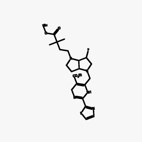 CCOC(=O)C1=C(CN2CC(F)C3C2CCN3CCC(C)(C)C(=O)OC(C)(C)C)NC(c2nccs2)=NC1